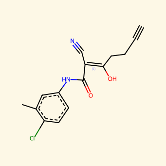 C#CCC/C(O)=C(\C#N)C(=O)Nc1ccc(Cl)c(C)c1